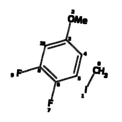 CI.COc1ccc(F)c(F)c1